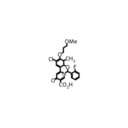 COCCCOC1=C(Cl)C=C2c3cc(=O)c(C(=O)O)cn3C(c3ccccc3F)OC2C1C